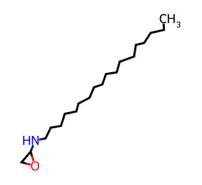 CCCCCCCCCCCCCCCCCCNC1CO1